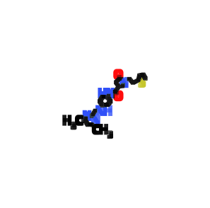 Cc1cc(C)nc(CNc2ccc(NC(=O)C3CC(=O)N(CCc4cccs4)C3)cc2)n1